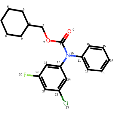 O=C(OCC1CCCCC1)N(c1ccccc1)c1cc(F)cc(Cl)c1